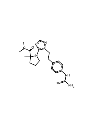 CN(C)C(=O)C1(C)CCCN1c1scnc1CCc1ccc(NC(=N)N)cc1